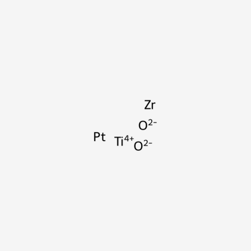 [O-2].[O-2].[Pt].[Ti+4].[Zr]